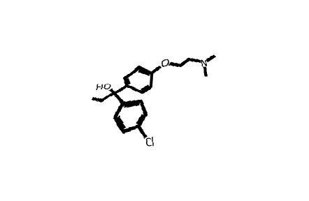 CCC(O)(c1ccc(Cl)cc1)c1ccc(OCCN(C)C)cc1